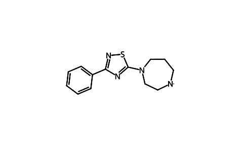 c1ccc(-c2nsc(N3CCC[N]CC3)n2)cc1